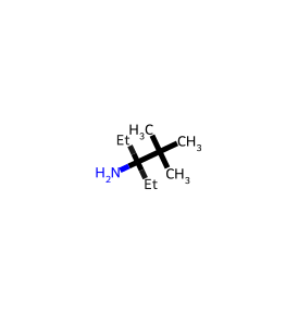 CCC(N)(CC)C(C)(C)C